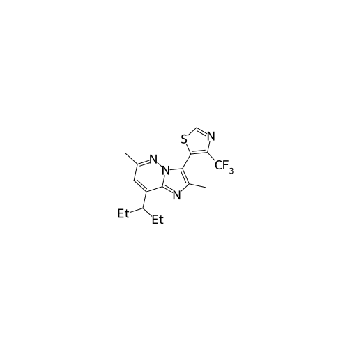 CCC(CC)c1cc(C)nn2c(-c3scnc3C(F)(F)F)c(C)nc12